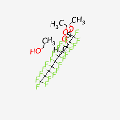 CCO.CCO[Si](OCC)(OCC)C(F)(F)C(F)(F)C(F)(F)C(F)(F)C(F)(F)C(F)(F)C(F)(F)C(F)(F)C(F)(F)C(F)(F)F